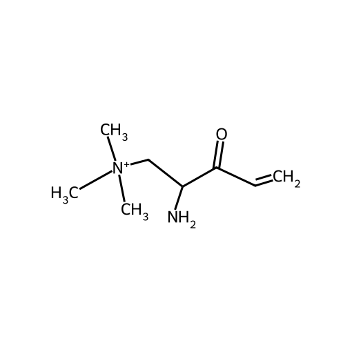 C=CC(=O)C(N)C[N+](C)(C)C